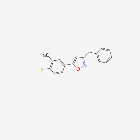 N#Cc1cc(-c2cc(Cc3ccccc3)no2)ccc1F